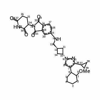 COC1CCCCC1c1cn([C@H]2C[C@H](CNc3ccc4c(c3)C(=O)N(C3CCC(=O)NC3=O)C4=O)C2)nc1C1CC1